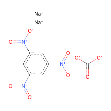 O=C([O-])[O-].O=[N+]([O-])c1cc([N+](=O)[O-])cc([N+](=O)[O-])c1.[Na+].[Na+]